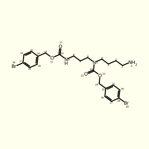 NCCCCN(CCCNC(=O)OCc1ccc(Br)cc1)C(=O)OCc1ccc(Br)cc1